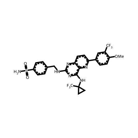 COc1ccc(-c2ccc3nc(NCc4ccc(S(N)(=O)=O)cc4)nc(NC4(C(F)(F)F)CC4)c3n2)cc1C(F)(F)F